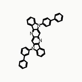 c1ccc(-c2ccc(-n3c4ccccc4c4nc5cc6c(nc5cc43)c3ccccc3n6-c3cccc(-c4ccccc4)c3)cc2)cc1